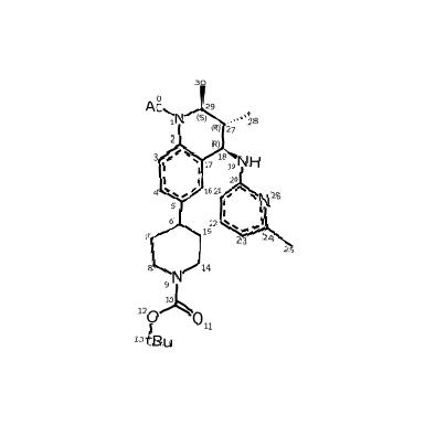 CC(=O)N1c2ccc(C3CCN(C(=O)OC(C)(C)C)CC3)cc2[C@H](Nc2cccc(C)n2)[C@@H](C)[C@@H]1C